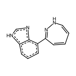 C1=CNN=C(c2cccc3[nH]cnc23)C=C1